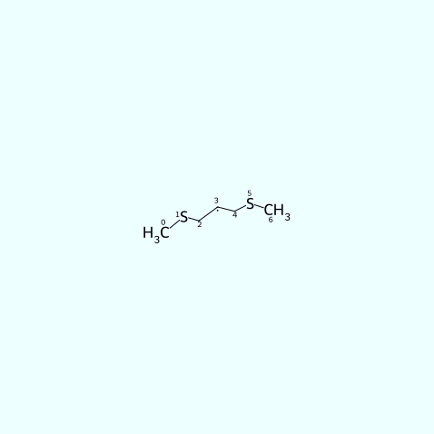 CSC[CH]CSC